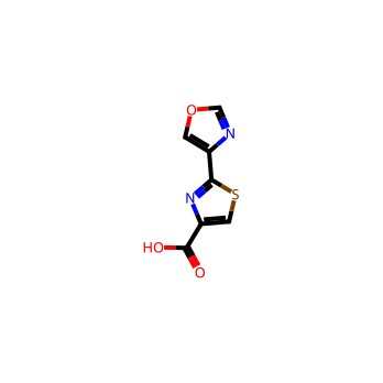 O=C(O)c1csc(-c2cocn2)n1